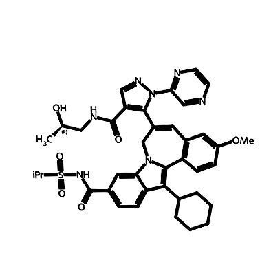 COc1ccc2c(c1)C=C(c1c(C(=O)NC[C@@H](C)O)cnn1-c1cnccn1)Cn1c-2c(C2CCCCC2)c2ccc(C(=O)NS(=O)(=O)C(C)C)cc21